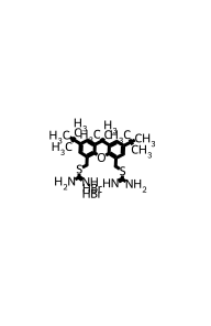 Br.Br.CC(C)(C)c1cc(CSC(=N)N)c2c(c1)C(C)(C)c1cc(C(C)(C)C)cc(CSC(=N)N)c1O2